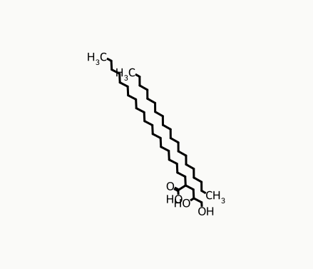 CCCCCCCCCCCCCCCCCCCC.CCCCCCCCCCCCCCCCCCCCC(CC(O)CO)C(=O)O